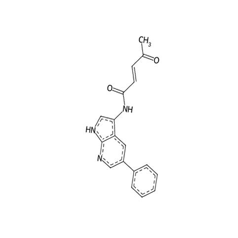 CC(=O)C=CC(=O)Nc1c[nH]c2ncc(-c3ccccc3)cc12